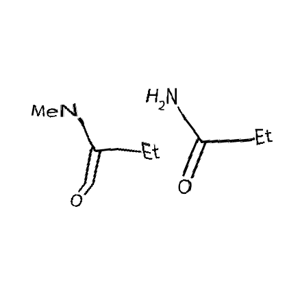 CCC(=O)NC.CCC(N)=O